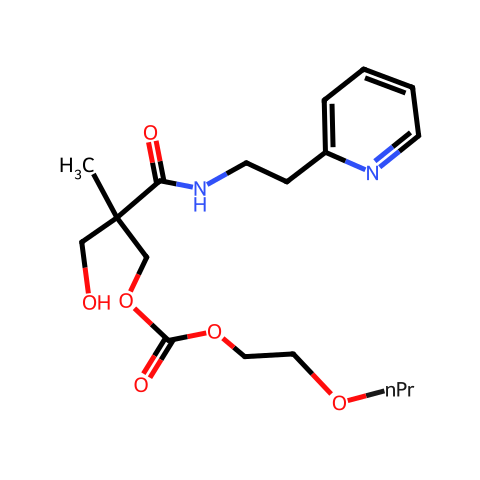 CCCOCCOC(=O)OCC(C)(CO)C(=O)NCCc1ccccn1